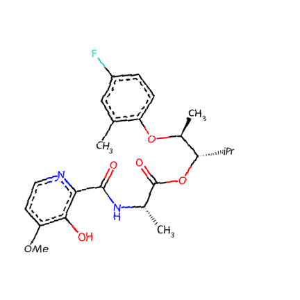 COc1ccnc(C(=O)N[C@@H](C)C(=O)O[C@@H](C(C)C)[C@H](C)Oc2ccc(F)cc2C)c1O